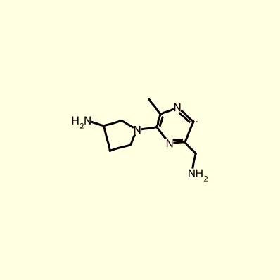 Cc1n[c]c(CN)nc1N1CCC(N)C1